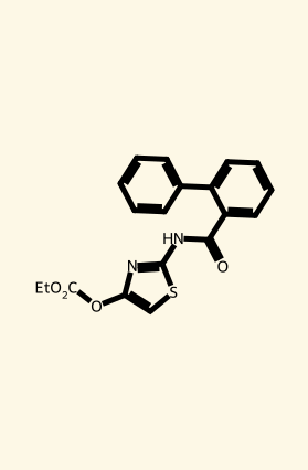 CCOC(=O)Oc1csc(NC(=O)c2ccccc2-c2ccccc2)n1